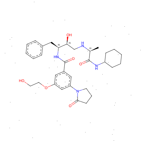 C[C@H](NC[C@H](O)[C@H](Cc1ccccc1)NC(=O)c1cc(OCCO)cc(N2CCCC2=O)c1)C(=O)NC1CCCCC1